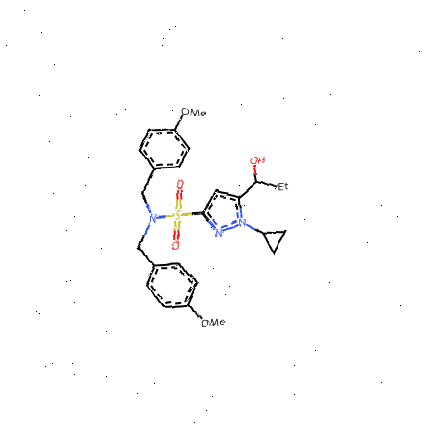 CCC(O)c1cc(S(=O)(=O)N(Cc2ccc(OC)cc2)Cc2ccc(OC)cc2)nn1C1CC1